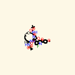 COc1ccc2c(c1)oc1c(O[C@@H]3C[C@H]4C(=O)N[C@]5(C(=O)NS(=O)(=O)C6CC6)C[C@H]5/C=C\CCCCC[C@H](NC(=O)OC(C)(C)C)C(=O)N4C3)c3cccc(F)c3nc12